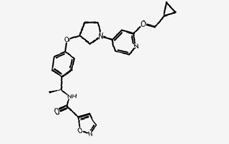 C[C@H](NC(=O)c1ccno1)c1ccc(OC2CCN(c3ccnc(OCC4CC4)c3)C2)cc1